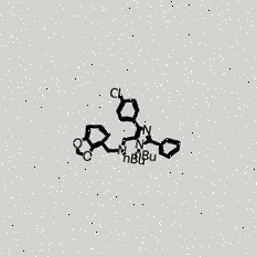 CCCCN(Cc1cccc2c1OCO2)Cc1c(-c2ccc(Cl)cc2)nc(-c2ccccc2)n1CCCC